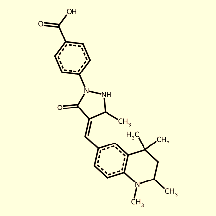 CC1NN(c2ccc(C(=O)O)cc2)C(=O)C1=Cc1ccc2c(c1)C(C)(C)CC(C)N2C